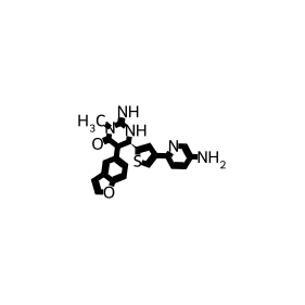 CN1C(=N)N[C@H](c2cc(-c3ccc(N)cn3)cs2)C(c2ccc3occc3c2)C1=O